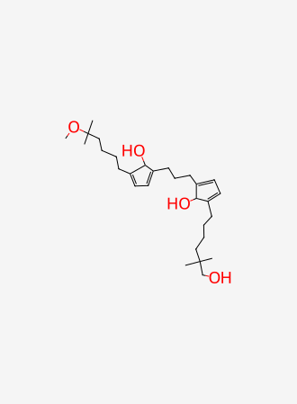 COC(C)(C)CCCCC1=CC=C(CCCC2=CC=C(CCCCC(C)(C)CO)C2O)C1O